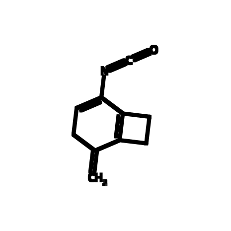 C=C1CC=C(N=C=O)C2=C1CC2